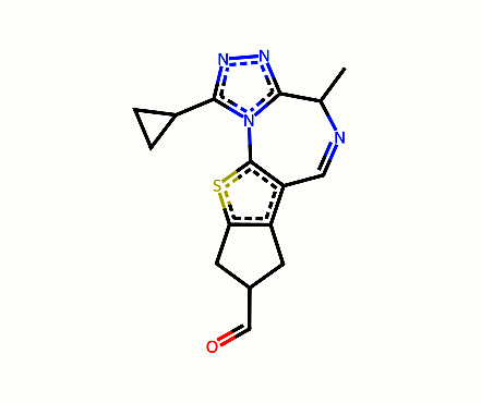 CC1N=Cc2c(sc3c2CC(C=O)C3)-n2c(C3CC3)nnc21